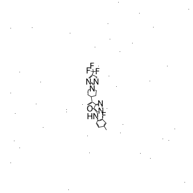 Cc1ccc(Nc2ncnc3c(C4CCN(c5ncc(C(F)(F)F)cn5)CC4)coc23)c(F)c1